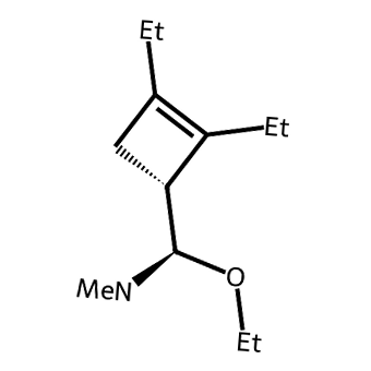 CCO[C@@H](NC)[C@@H]1CC(CC)=C1CC